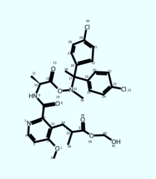 COc1ccnc(C(=O)N[C@@H](C)C(=O)ON(C)C(C)(c2ccc(Cl)cc2)c2ccc(Cl)cc2)c1CC(C)C(=O)OCO